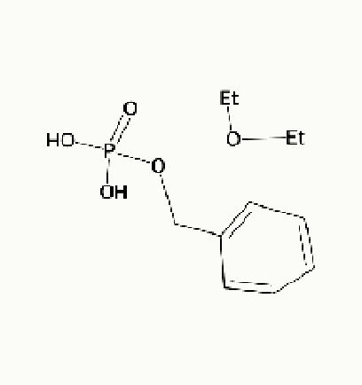 CCOCC.O=P(O)(O)OCc1ccccc1